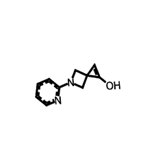 OC1=CC12CN(c1ccccn1)C2